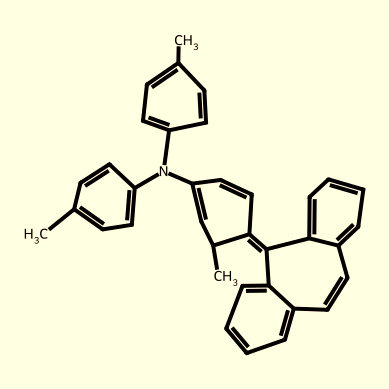 Cc1ccc(N(C2=CC(C)C(=C3c4ccccc4C=Cc4ccccc43)C=C2)c2ccc(C)cc2)cc1